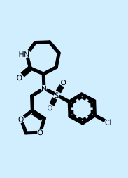 O=C1NCCCCC1N(CC1=COCO1)S(=O)(=O)c1ccc(Cl)cc1